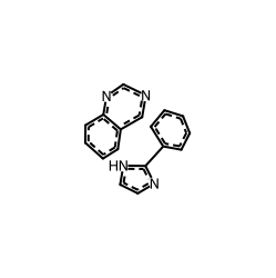 c1ccc(-c2ncc[nH]2)cc1.c1ccc2ncncc2c1